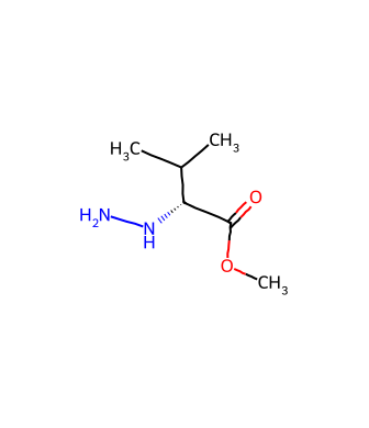 COC(=O)[C@H](NN)C(C)C